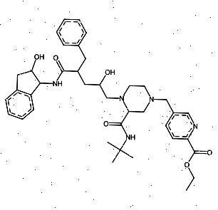 CCOC(=O)c1ccc(CN2CCN(CC(O)CC(Cc3ccccc3)C(=O)NC3c4ccccc4CC3O)C(C(=O)NC(C)(C)C)C2)cn1